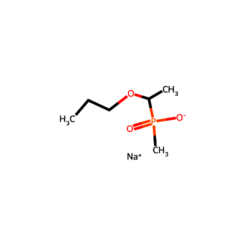 CCCOC(C)P(C)(=O)[O-].[Na+]